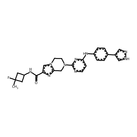 CC1(F)CC(NC(=O)c2cn3c(n2)CN(c2nccc(Nc4ccc(-c5cn[nH]c5)cc4)n2)CC3)C1